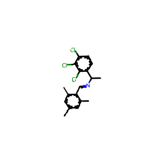 Cc1cc(C)c(C=NC(C)c2ccc(Cl)c(Cl)c2Cl)c(C)c1